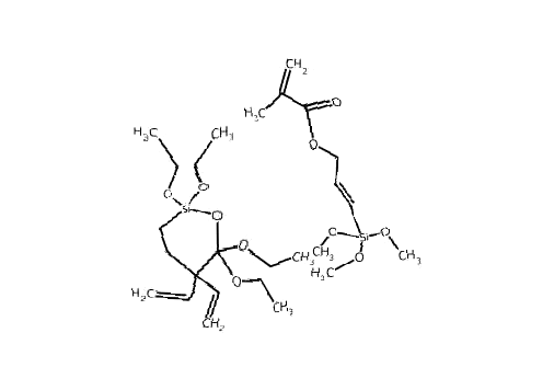 C=C(C)C(=O)OCC=C[Si](OC)(OC)OC.C=CC1(C=C)CC[Si](OCC)(OCC)OC1(OCC)OCC